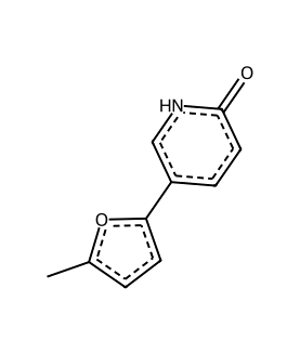 Cc1ccc(-c2ccc(=O)[nH]c2)o1